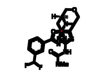 CNC(=O)Nc1nc2c(s1)C1COC[C@H](C2)N1c1nnc(-c2cccc(C(F)F)c2)o1